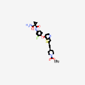 CC(C)(C)OC(=O)N1CCC(C#Cc2cc3nccc(Oc4ccc(NC(=O)C5(C(N)=O)CC5)cc4F)c3s2)CC1